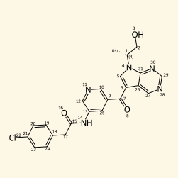 C[C@H](CO)n1cc(C(=O)c2cncc(NC(=O)Cc3ccc(Cl)cc3)c2)c2cncnc21